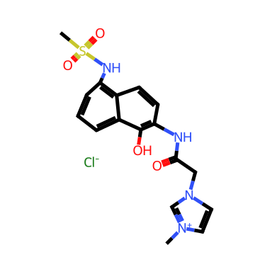 C[n+]1ccn(CC(=O)Nc2ccc3c(NS(C)(=O)=O)cccc3c2O)c1.[Cl-]